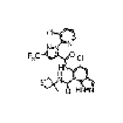 CC1(NC(=O)c2c(NC(=O)c3cc(C(F)(F)F)nn3-c3ncccc3Cl)c(Cl)cc3cn[nH]c23)CSC1